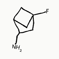 NC1CC2(F)CC1C2